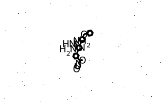 N=C(N)c1c(-c2ccc(Oc3ccccc3)cc2)ncc(-c2cccc(C(=O)N3CCOCC3)c2)c1N